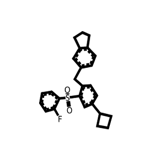 O=S(=O)(c1ccccc1F)c1cc(C2CCC2)ccc1Cc1ccc2c(c1)CCC2